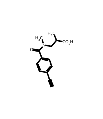 [C]#Cc1ccc(C(=O)N(C)CC(C)C(=O)O)cc1